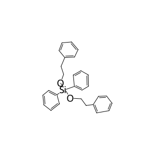 c1ccc(CCO[Si](OCCc2ccccc2)(c2ccccc2)c2ccccc2)cc1